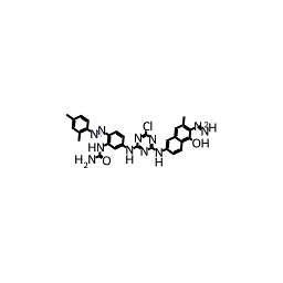 [2H]N=Nc1c(C)cc2cc(Nc3nc(Cl)nc(Nc4ccc(/N=N/c5ccc(C)cc5C)c(NC(N)=O)c4)n3)ccc2c1O